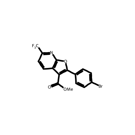 COC(=O)c1c(-c2ccc(Br)cc2)oc2nc(C(F)(F)F)ccc12